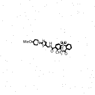 COC1CCN(c2ncc(CNC(=O)c3ccc4c(c3C)NC(=O)c3ccccc3S4(=O)=O)s2)CC1